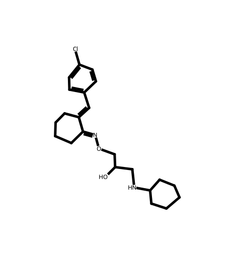 OC(CNC1CCCCC1)CO/N=C1\CCCC\C1=C/c1ccc(Cl)cc1